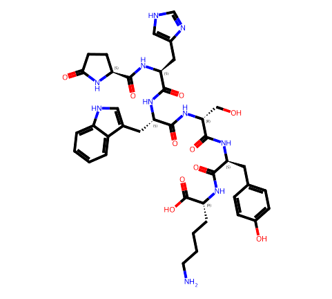 NCCCC[C@@H](NC(=O)[C@H](Cc1ccc(O)cc1)NC(=O)[C@@H](CO)NC(=O)[C@H](Cc1c[nH]c2ccccc12)NC(=O)[C@H](Cc1c[nH]cn1)NC(=O)[C@@H]1CCC(=O)N1)C(=O)O